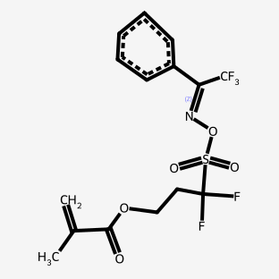 C=C(C)C(=O)OCCC(F)(F)S(=O)(=O)O/N=C(/c1ccccc1)C(F)(F)F